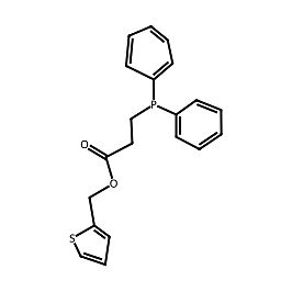 O=C(CCP(c1ccccc1)c1ccccc1)OCc1cccs1